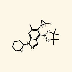 Cc1cc2c(cnn2C2CCCCO2)c(B2OC(C)(C)C(C)(C)O2)c1[C@H]1C[C@H]1C